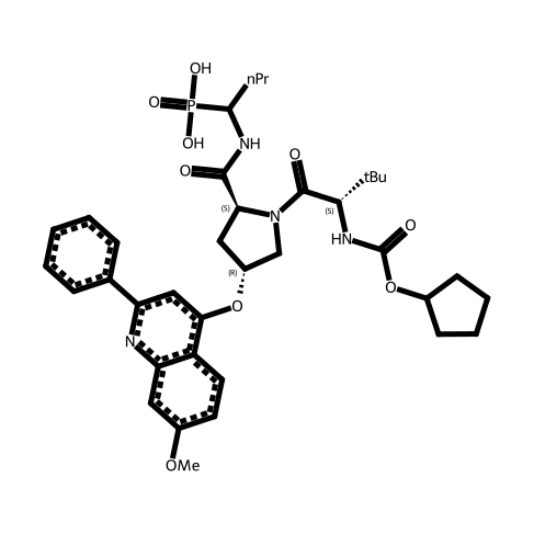 CCCC(NC(=O)[C@@H]1C[C@@H](Oc2cc(-c3ccccc3)nc3cc(OC)ccc23)CN1C(=O)[C@@H](NC(=O)OC1CCCC1)C(C)(C)C)P(=O)(O)O